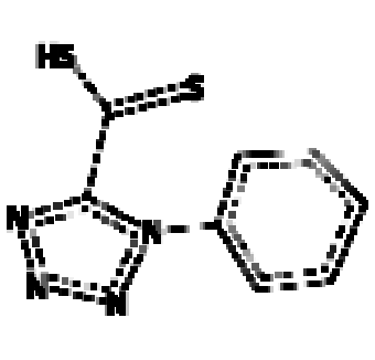 S=C(S)c1nnnn1-c1ccccc1